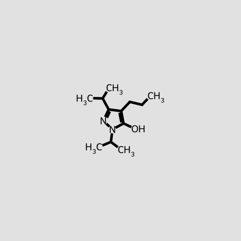 CCCc1c(C(C)C)nn(C(C)C)c1O